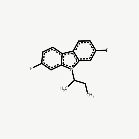 CCC(C)n1c2cc(F)ccc2c2ccc(F)cc21